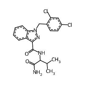 CC(C)C(NC(=O)c1nn(Cc2ccc(Cl)cc2Cl)c2ccccc12)C(N)=O